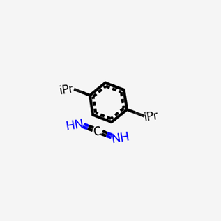 CC(C)c1ccc(C(C)C)cc1.N=C=N